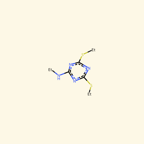 CCNc1nc(SCC)nc(SCC)n1